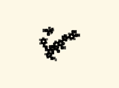 Nc1nc(/C(=N/OCc2ccccc2)C(=O)N[C@@H]2C(=O)N3C(C(=O)O)=C(CSc4nnc(-c5ccc(O)c(O)c5)s4)CS[C@H]23)cs1.O=C(O)C(F)(F)F